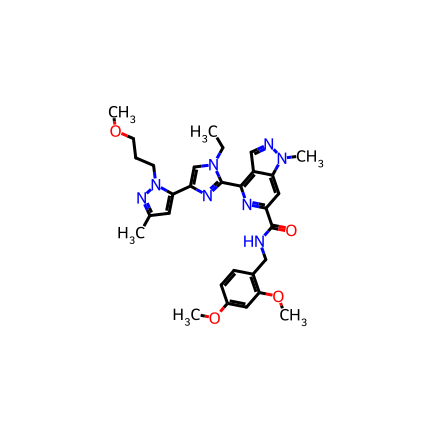 CCn1cc(-c2cc(C)nn2CCCOC)nc1-c1nc(C(=O)NCc2ccc(OC)cc2OC)cc2c1cnn2C